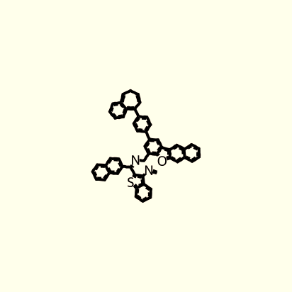 C=Nc1c(/C(=N\Cc2cc(-c3ccc(C4=c5ccccc5=CCC=C4)cc3)cc3c2oc2cc4ccccc4cc23)c2ccc3ccccc3c2)sc2ccccc12